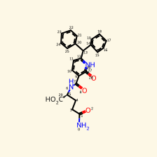 NC(=O)CC[C@H](NC(=O)c1ccc(C(c2ccccc2)c2ccccc2)[nH]c1=O)C(=O)O